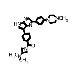 CN1CCN(c2ccc(-c3cnc4[nH]cc(-c5ccc(C(=O)N6CC(N(C)C)C6)cc5)c4n3)cc2)CC1